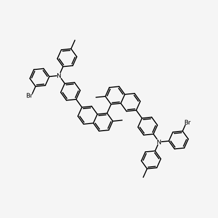 Cc1ccc(N(c2ccc(-c3ccc4ccc(C)c(-c5c(C)ccc6ccc(-c7ccc(N(c8ccc(C)cc8)c8cccc(Br)c8)cc7)cc56)c4c3)cc2)c2cccc(Br)c2)cc1